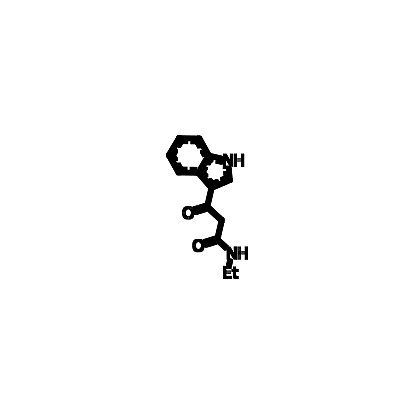 CCNC(=O)CC(=O)c1c[nH]c2ccccc12